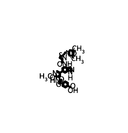 COc1ncc(-c2cc(NC(=O)c3csc(CN4C[C@H](C)O[C@@H](C)C4)n3)c3cn[nH]c3c2)cc1NS(=O)(=O)c1ccc(C(=O)O)cc1